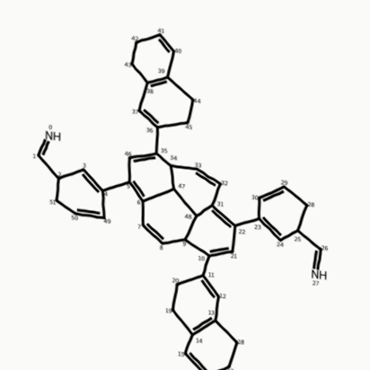 N=CC1C=C(C2=C3C=CC4C(C5=CC6=C(C=CCC6)CC5)=CC(C5=CC(C=N)CC=C5)=C5C=CC(C(C6=CC7=C(C=CCC7)CC6)=C2)C3C54)C=CC1